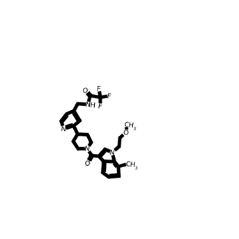 COCCn1cc(C(=O)N2CCC(c3cc(CNC(=O)C(F)(F)F)ccn3)CC2)c2cccc(C)c21